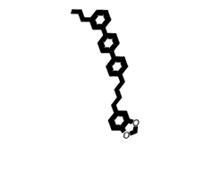 CCCc1cccc(-c2ccc(-c3ccc(CCCCc4ccc5c(c4)OCO5)cc3)cc2)c1